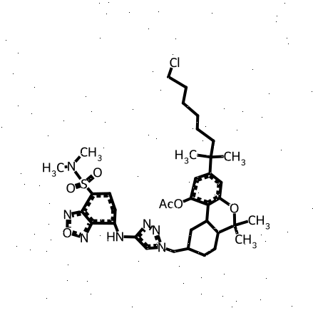 CC(=O)Oc1cc(C(C)(C)CCCCCCCl)cc2c1C1CC(Cn3cc(Nc4ccc(S(=O)(=O)N(C)C)c5nonc45)nn3)CCC1C(C)(C)O2